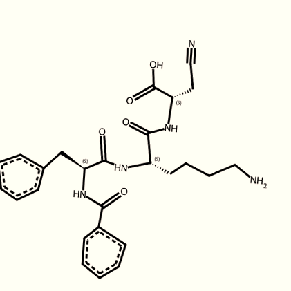 N#CC[C@H](NC(=O)[C@H](CCCCN)NC(=O)[C@H](Cc1ccccc1)NC(=O)c1ccccc1)C(=O)O